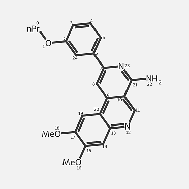 CCCOc1cccc(-c2cc3c(cnc4cc(OC)c(OC)cc43)c(N)n2)c1